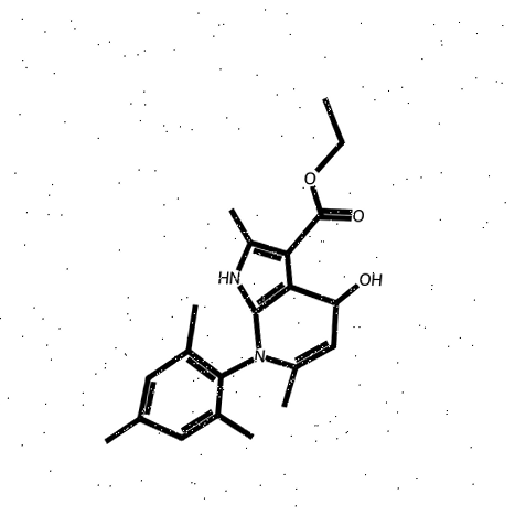 CCOC(=O)c1c(C)[nH]c2c1C(O)C=C(C)N2c1c(C)cc(C)cc1C